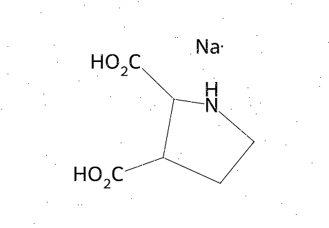 O=C(O)C1CCNC1C(=O)O.[Na]